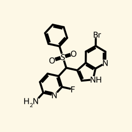 Nc1ccc(C(c2c[nH]c3ncc(Br)cc23)S(=O)(=O)c2ccccc2)c(F)n1